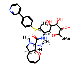 C=N[C@@]1(C(=O)N[C@H]([C@H](C)Sc2ccc(-c3cccnc3)cc2)[C@H]2OC(SC)[C@H](O)C(O)C2O)[C@@H]2OCC=CC[C@H]2CN1C